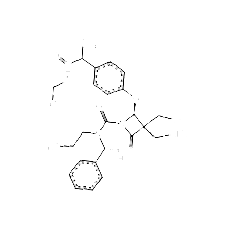 CCCN(C(=O)N1C(=O)C(CC)(CC)[C@@H]1Oc1ccc(C(C)[PH](=O)OCC)cc1)[C@H](C)c1ccccc1